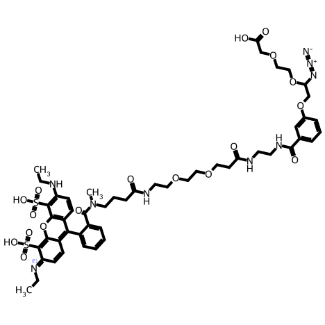 CC/N=c1\ccc2c(-c3ccccc3C(=O)N(C)CCCC(=O)NCCOCCOCCC(=O)NCCNC(=O)c3cccc(OCC(N=[N+]=[N-])OCCOCC(=O)O)c3)c3ccc(NCC)c(S(=O)(=O)O)c3oc-2c1S(=O)(=O)O